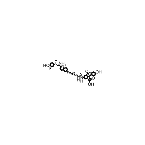 N/C(=C\Nc1ccc(O)c(F)c1)c1ccc2cc(OCCOCCNC(=S)Nc3ccc4c(c3)C(=O)OC43c4ccc(O)cc4Oc4cc(O)ccc43)ccc2n1